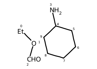 CCOC=O.NC1CCCCC1